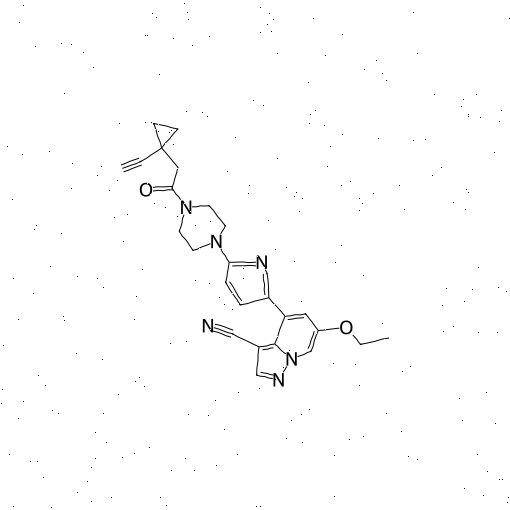 C#CC1(CC(=O)N2CCN(c3ccc(-c4cc(OCC)cn5ncc(C#N)c45)cn3)CC2)CC1